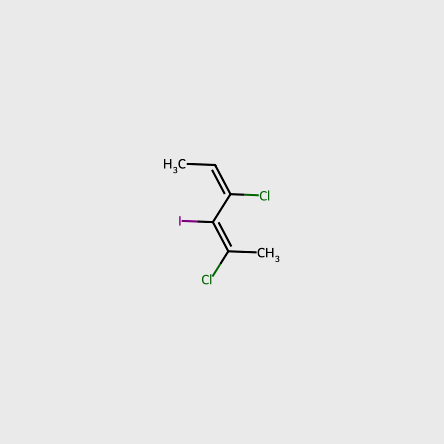 C/C=C(Cl)\C(I)=C(/C)Cl